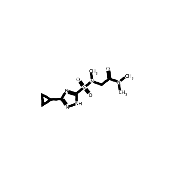 CN(C)C(=O)CN(C)S(=O)(=O)c1nc(C2CC2)n[nH]1